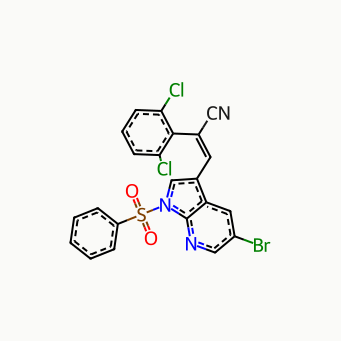 N#C/C(=C/c1cn(S(=O)(=O)c2ccccc2)c2ncc(Br)cc12)c1c(Cl)cccc1Cl